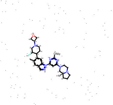 COc1nc(N2CCN3CCC[C@@H]3C2)cc(-n2ncc3cc(C)c(C4CCN(C5COC5)CC4F)cc32)n1